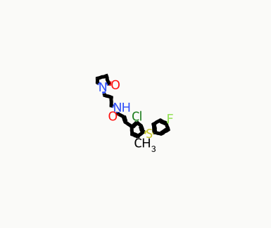 Cc1cc(/C=C/C(=O)NCCCN2CCCC2=O)c(Cl)cc1Sc1ccc(F)cc1